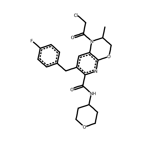 CC1COc2nc(C(=O)NC3CCOCC3)c(Cc3ccc(F)cc3)cc2N1C(=O)CCl